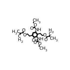 C=C(C)C(=O)OCCc1cc(NC(=O)OCC)c(CCOC(=O)C(=C)C)c(NC(=O)OCC)c1C